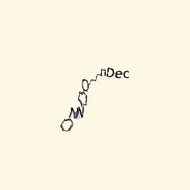 CCCCCCCCCCCCCCCOc1ccc(/N=N/c2ccccc2)cc1